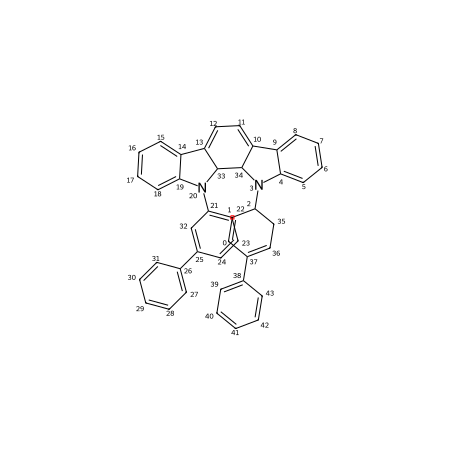 C1=CC(N2c3ccccc3C3=CC=C4c5ccccc5N(c5cccc(-c6ccccc6)c5)C4C32)CC=C1c1ccccc1